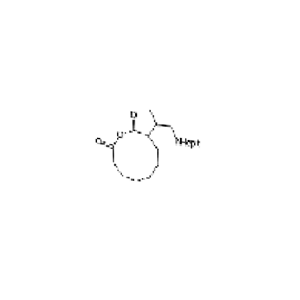 CCCCCCC/C=C(/C)C1CCCCCCC(=O)OC1=O